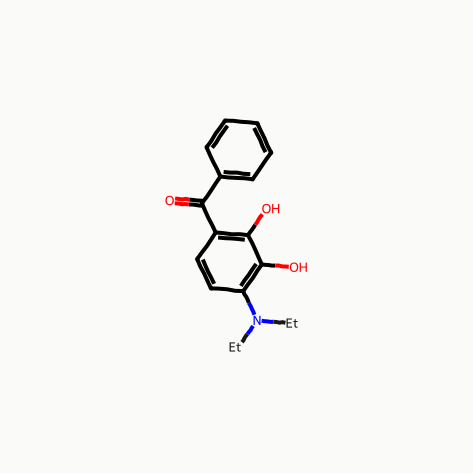 CCN(CC)c1ccc(C(=O)c2ccccc2)c(O)c1O